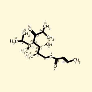 C/C=C/C(=O)OC[C@@H](C)[C@@H](O)[C@@H](C(=O)C(C)C)N(C)C(C)C